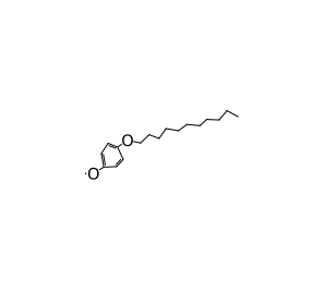 CCCCCCCCCCCOc1ccc([O])cc1